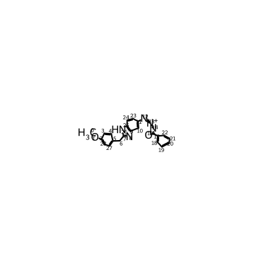 COc1ccc(Cc2nc3cc(N=[N+]=NC(=O)c4ccccc4)ccc3[nH]2)cc1